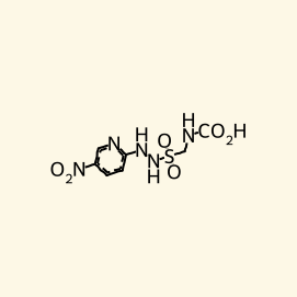 O=C(O)NCS(=O)(=O)NNc1ccc([N+](=O)[O-])cn1